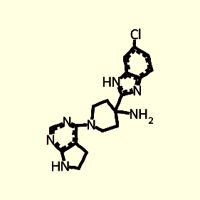 NC1(c2nc3ccc(Cl)cc3[nH]2)CCN(c2ncnc3c2CCN3)CC1